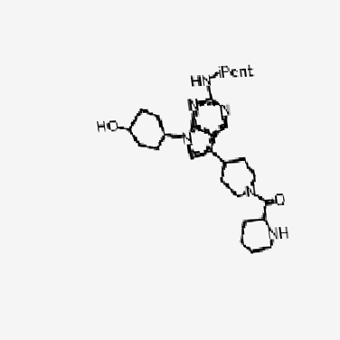 CCCC(C)Nc1ncc2c(C3CCN(C(=O)C4CCCCN4)CC3)cn(C3CCC(O)CC3)c2n1